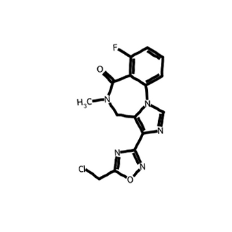 CN1Cc2c(-c3noc(CCl)n3)ncn2-c2cccc(F)c2C1=O